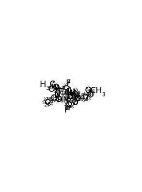 [2H]c1cc(F)cc2c1c(CC1CC(OC(C)=O)CN1C(=O)OCc1ccccc1)c(-c1[nH]c3cc(F)ccc3c1C(C(=O)OCc1ccc(OC(C)=O)cc1)C1([2H])CCCN1[2H])n2[2H]